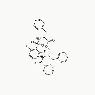 O=C(N[C@H](COC(=O)[C@@H](Cc1ccccc1)NS(=O)(=O)c1c(F)cccc1F)Cc1ccccc1)c1ccccc1